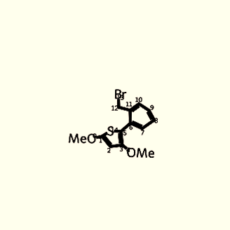 COc1cc(OC)c(-c2ccccc2CBr)s1